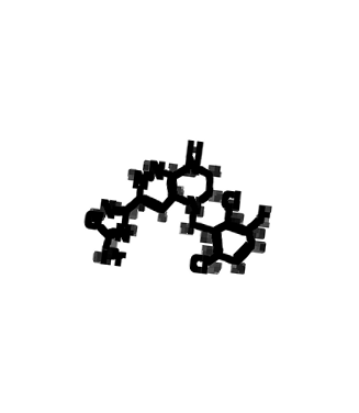 CC(C)c1nc(-c2cc3c(nn2)NCCN3Cc2c(Cl)ccc(F)c2Cl)no1